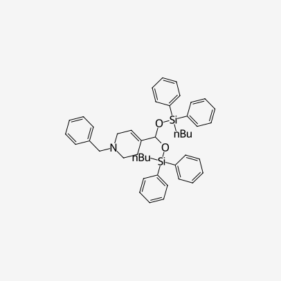 CCCC[Si](OC(O[Si](CCCC)(c1ccccc1)c1ccccc1)C1=CCN(Cc2ccccc2)CC1)(c1ccccc1)c1ccccc1